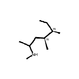 CC[C@@H](C)[C@@H](C)CC(C)NC